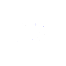 N#Cc1cccc(C#N)c1S(=O)(=O)Nc1cccc(N)c1